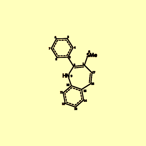 CSC1=C(c2ccccc2)Nc2ccccc2C=C1